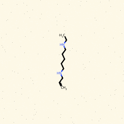 C=CCNCCCCCNCC